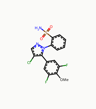 COc1c(F)cc(-c2c(Cl)cnn2-c2ccccc2S(N)(=O)=O)cc1F